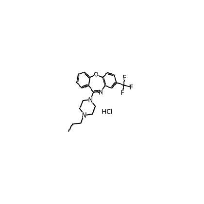 CCCN1CCN(C2=Nc3cc(C(F)(F)F)ccc3Oc3ccccc32)CC1.Cl